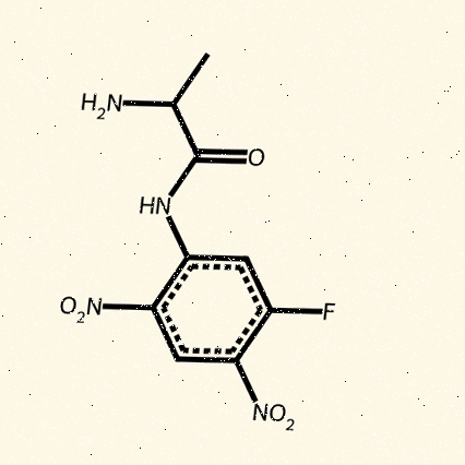 CC(N)C(=O)Nc1cc(F)c([N+](=O)[O-])cc1[N+](=O)[O-]